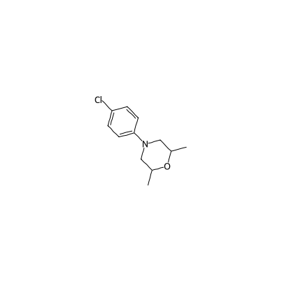 CC1CN(c2ccc(Cl)cc2)CC(C)O1